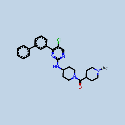 CC(=O)N1CCC(C(=O)N2CCC(Nc3ncc(Cl)c(-c4cccc(-c5ccccc5)c4)n3)CC2)CC1